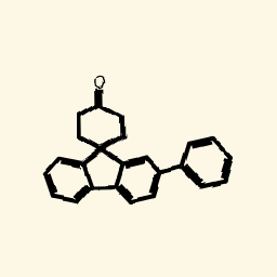 O=C1CCC2(CC1)c1ccccc1-c1ccc(-c3ccccc3)cc12